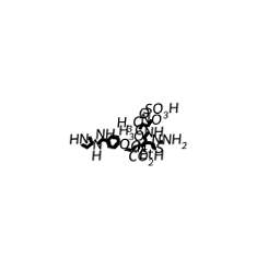 CCc1sc(N)nc1C(=NOC(COc1ccc(C(=N)NC2CCNC2)cc1)C(=O)O)C(=O)NC1C(=O)N(OS(=O)(=O)O)C1(C)C